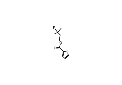 CC(C)(F)CCOC(=O)c1cccs1